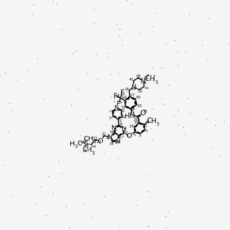 Cc1ccc(Oc2nc(-c3ccncc3)nc3c2ncn3COCC[Si](C)(C)C)cc1C(=O)Nc1ccc(CN2CCN(C)CC2)c(C(F)(F)F)c1